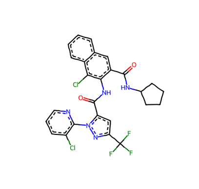 O=C(NC1CCCC1)c1cc2ccccc2c(Cl)c1NC(=O)c1cc(C(F)(F)F)nn1-c1ncccc1Cl